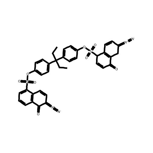 CCC(CC)(c1ccc(OS(=O)(=O)c2cccc3c2C=CC(=[N+]=[N-])C3=O)cc1)c1ccc(OS(=O)(=O)C2C=CC(=O)C3=C2C=CC(=[N+]=[N-])C3)cc1